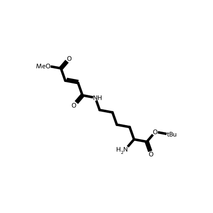 COC(=O)C=CC(=O)NCCCCC(N)C(=O)OC(C)(C)C